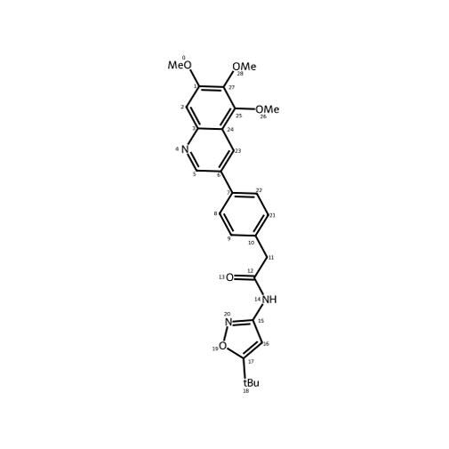 COc1cc2ncc(-c3ccc(CC(=O)Nc4cc(C(C)(C)C)on4)cc3)cc2c(OC)c1OC